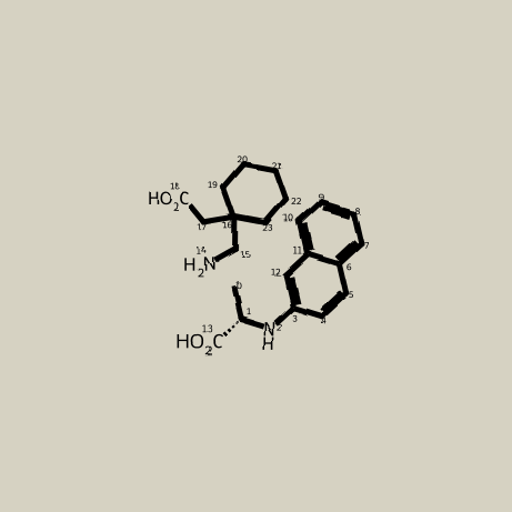 C[C@H](Nc1ccc2ccccc2c1)C(=O)O.NCC1(CC(=O)O)CCCCC1